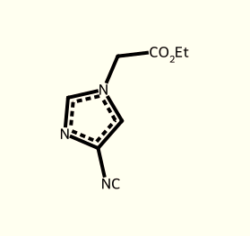 [C-]#[N+]c1cn(CC(=O)OCC)cn1